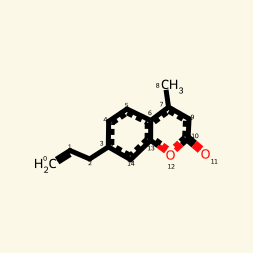 C=CCc1ccc2c(C)cc(=O)oc2c1